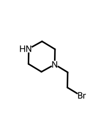 BrCCN1CCNCC1